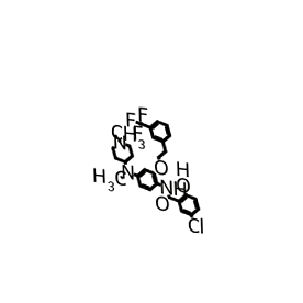 CN1CCC(N(C)c2ccc(NC(=O)c3cc(Cl)ccc3O)c(OCCc3cccc(C(F)(F)F)c3)c2)CC1